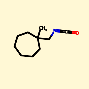 CC1(CN=C=O)CCCCCC1